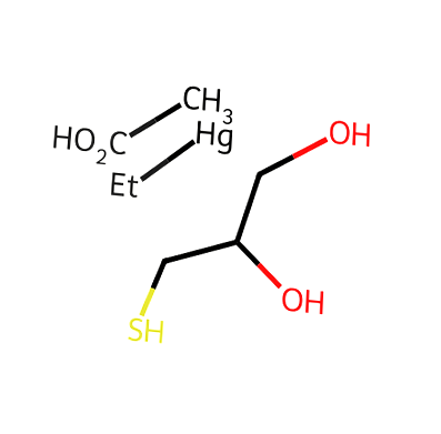 CC(=O)O.C[CH2][Hg].OCC(O)CS